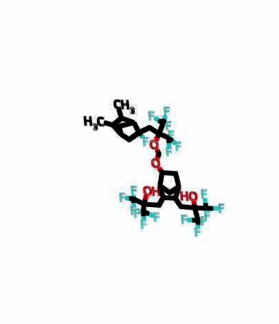 CC1C2CC(C1C)C(F)(CC(OCOC1CC3CC1C(CC(O)(C(F)(F)F)C(F)(F)F)C3CC(O)(C(F)(F)F)C(F)(F)F)(C(F)(F)F)C(F)(F)F)C2